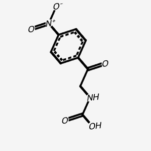 O=C(O)NCC(=O)c1ccc([N+](=O)[O-])cc1